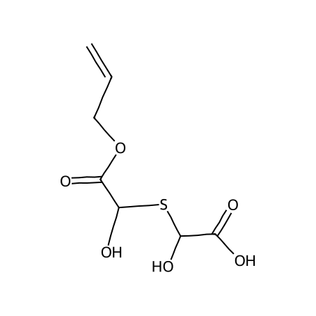 C=CCOC(=O)C(O)SC(O)C(=O)O